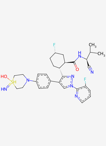 CC(C)[C@@H](C#N)NC(=O)[C@@H]1C[C@@H](F)CC[C@H]1c1nn(-c2ncccc2F)cc1-c1ccc(N2CC[SH](=N)(O)CC2)cc1